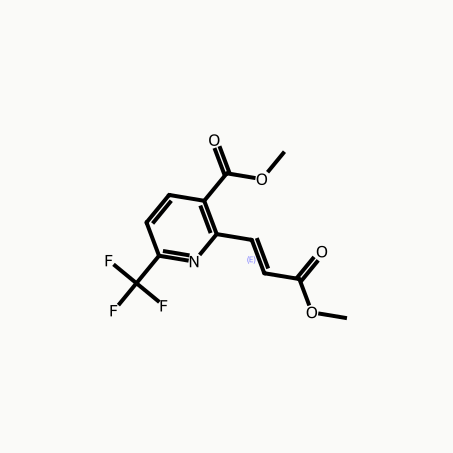 COC(=O)/C=C/c1nc(C(F)(F)F)ccc1C(=O)OC